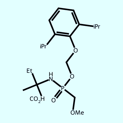 CCC(C)(NP(=O)(COC)OCOc1c(C(C)C)cccc1C(C)C)C(=O)O